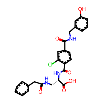 O=C(Cc1ccccc1)NC[C@H](NC(=O)c1ccc(C(=O)NCc2cccc(O)c2)cc1Cl)C(=O)O